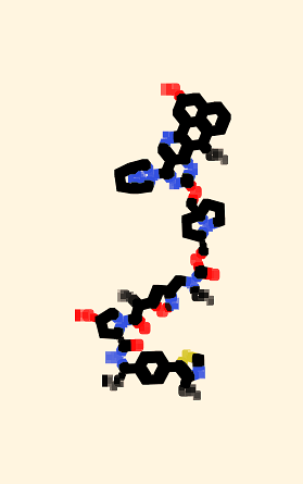 Cc1ncsc1-c1ccc([C@H](C)NC(=O)[C@@H]2C[C@@H](O)CN2C(=O)C(c2cc(CN(C)C(=O)OC[C@@H]3CC[C@]4(COc5nc(N6CC7CCC(C6)N7)c6cnc7c(c6n5)C(C)c5cccc6cc(O)cc-7c56)CCCN34)no2)C(C)C)cc1